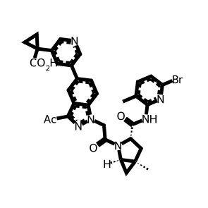 CC(=O)c1nn(CC(=O)N2[C@H](C(=O)Nc3nc(Br)ccc3C)C[C@@]3(C)C[C@@H]23)c2ccc(-c3cncc(C4(C(=O)O)CC4)c3)cc12